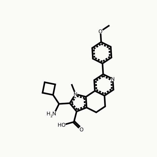 COc1ccc(-c2cc3c(cn2)CCc2c(C(=O)O)c(C(N)C4CCC4)n(C)c2-3)cc1